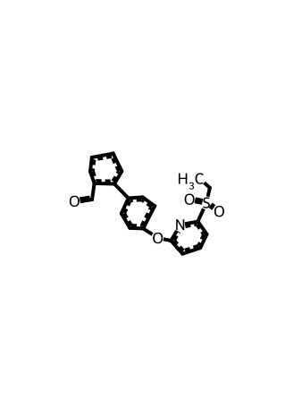 CCS(=O)(=O)c1cccc(Oc2ccc(-c3ccccc3C=O)cc2)n1